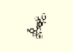 CN(c1cc2nc(C(NC(=O)O)C3CCC(F)(F)CC3)cn2nc1CCl)C1CCOCC1